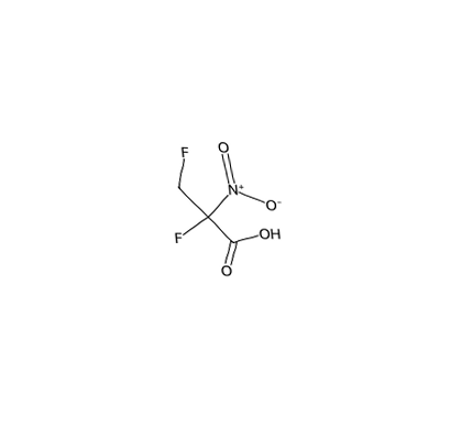 O=C(O)C(F)(CF)[N+](=O)[O-]